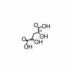 O=C(O)[C@H](O)C[C@H](O)C(=O)O